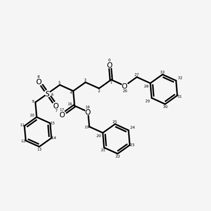 O=C(CCC(CS(=O)(=O)Cc1ccccc1)C(=O)OCc1ccccc1)OCc1ccccc1